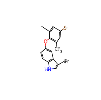 Cc1cc([S])cc(C(F)(F)F)c1Oc1ccc2[nH]cc(C(C)C)c2c1